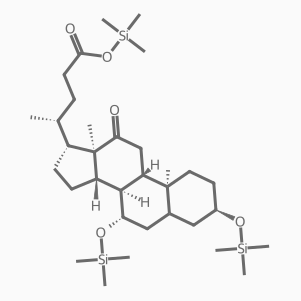 C[C@H](CCC(=O)O[Si](C)(C)C)[C@H]1CC[C@H]2[C@@H]3[C@@H](O[Si](C)(C)C)CC4C[C@H](O[Si](C)(C)C)CC[C@]4(C)[C@H]3CC(=O)[C@]12C